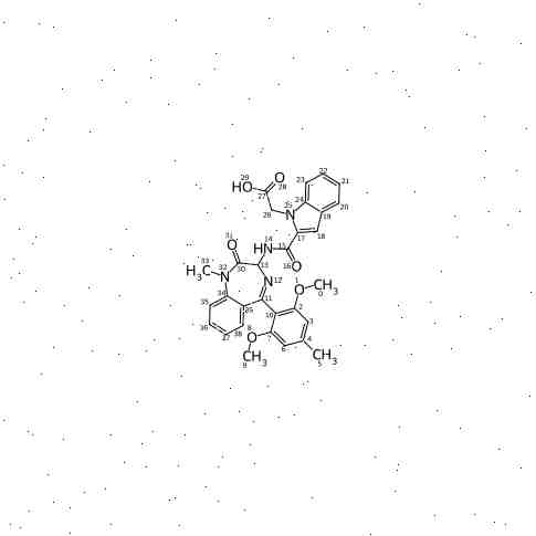 COc1cc(C)cc(OC)c1C1=NC(NC(=O)c2cc3ccccc3n2CC(=O)O)C(=O)N(C)c2ccccc21